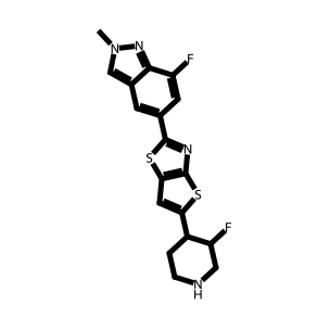 Cn1cc2cc(-c3nc4sc(C5CCNCC5F)cc4s3)cc(F)c2n1